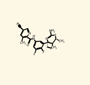 Cc1cc(C#N)cnc1C(=O)Nc1cc(F)c(F)c([C@@]2(CF)N=C(N)S[C@@H](C)C2C)c1